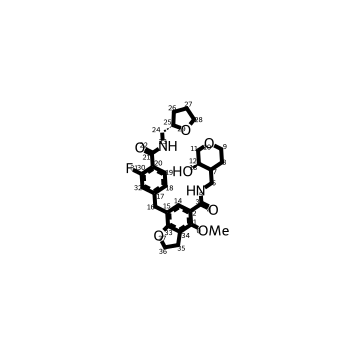 COc1c(C(=O)NCC2CCOC[C@@H]2O)cc(Cc2ccc(C(=O)NC[C@@H]3CCCO3)c(F)c2)c2c1CCO2